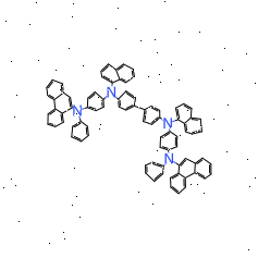 c1ccc(N(c2ccc(N(c3ccc(-c4ccc(N(c5ccc(N(c6ccccc6)c6cc7ccccc7c7ccccc67)cc5)c5cccc6ccccc56)cc4)cc3)c3cccc4ccccc34)cc2)c2cc3ccccc3c3ccccc23)cc1